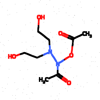 CC(=O)ON(C(C)=O)N(CCO)CCO